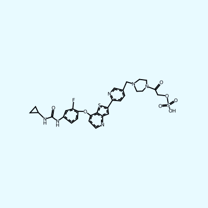 O=C(Nc1ccc(Oc2ccnc3cc(-c4ccc(CN5CCN(C(=O)COS(=O)(=O)O)CC5)cn4)sc23)c(F)c1)NC1CC1